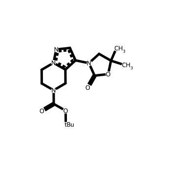 CC(C)(C)OC(=O)N1CCn2ncc(N3CC(C)(C)OC3=O)c2C1